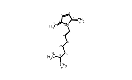 C=c1ccc(=C)n1CCCCCC(C)C(F)(F)F